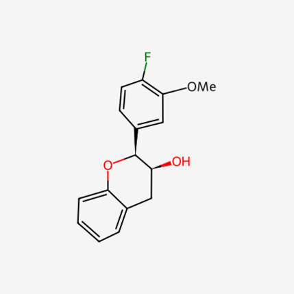 COc1cc([C@@H]2Oc3ccccc3C[C@@H]2O)ccc1F